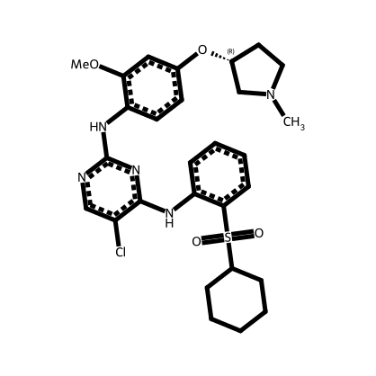 COc1cc(O[C@@H]2CCN(C)C2)ccc1Nc1ncc(Cl)c(Nc2ccccc2S(=O)(=O)C2CCCCC2)n1